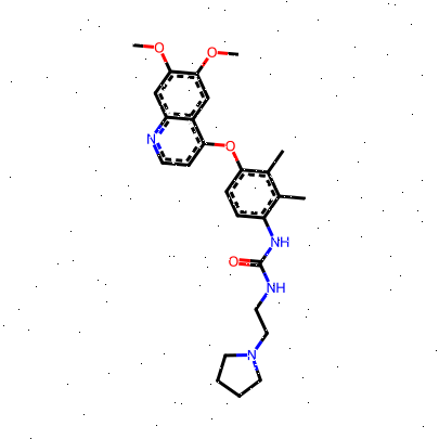 COc1cc2nccc(Oc3ccc(NC(=O)NCCN4CCCC4)c(C)c3C)c2cc1OC